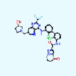 O=C(Nc1cccc(-c2cccc(Nc3nc(C(F)F)nc4cc(CN5CC[C@@H](O)C5)cnc34)c2Cl)c1Cl)c1cc2n(n1)CCCC2=O